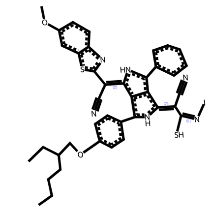 CCCCC(CC)COc1ccc(-c2[nH]/c(=C(C#N)\C(S)=N/I)c3c(-c4ccccc4)[nH]/c(=C(/C#N)c4nc5ccc(OC)cc5s4)c23)cc1